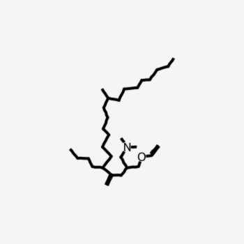 C=COCC(CC(=C)C(CCCC)CCCCCCC(C)CCCCCCCC)CN(C)C